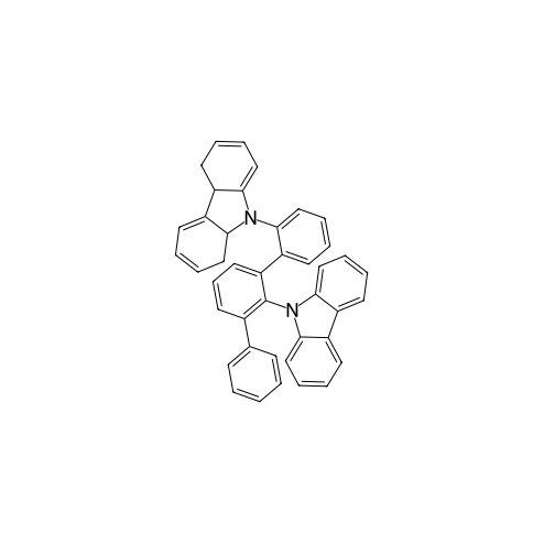 C1=CCC2C3=CC=CCC3N(c3ccccc3-c3cccc(-c4ccccc4)c3-n3c4ccccc4c4ccccc43)C2=C1